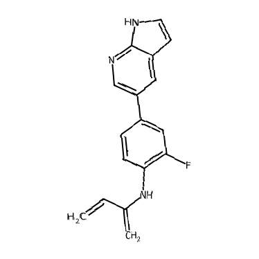 C=CC(=C)Nc1ccc(-c2cnc3[nH]ccc3c2)cc1F